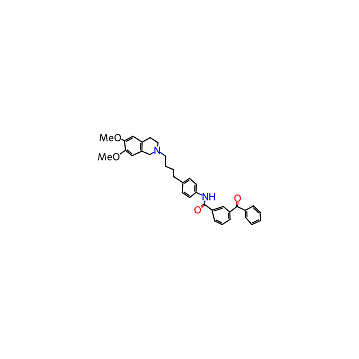 COc1cc2c(cc1OC)CN(CCCCc1ccc(NC(=O)c3cccc(C(=O)c4ccccc4)c3)cc1)CC2